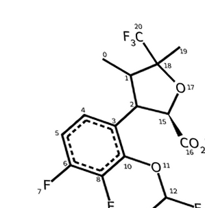 CC1C(c2ccc(F)c(F)c2OC(F)F)[C@H](C(=O)O)OC1(C)C(F)(F)F